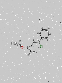 CC1(C)C(C=C(Cl)c2ccccc2)C1OC(=O)O